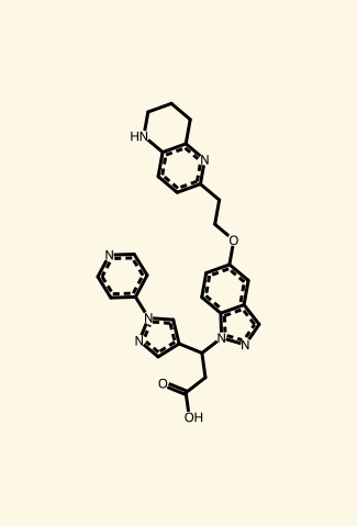 O=C(O)CC(c1cnn(-c2ccncc2)c1)n1ncc2cc(OCCc3ccc4c(n3)CCCN4)ccc21